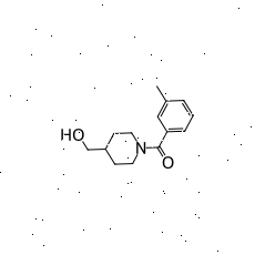 Cc1cccc(C(=O)N2CCC(CO)CC2)c1